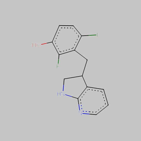 Oc1ccc(F)c(CC2CNc3ncccc32)c1F